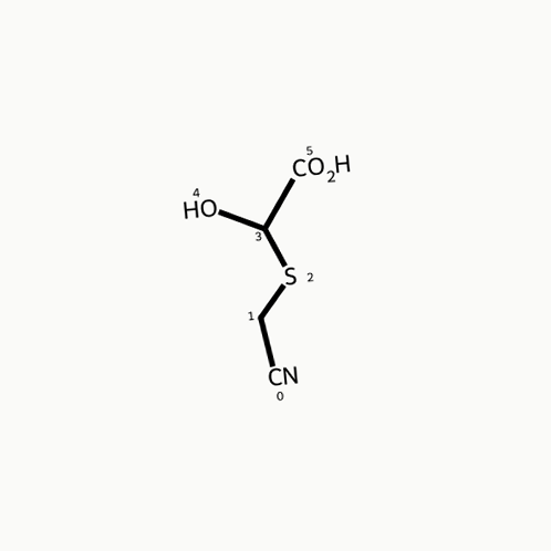 N#CCSC(O)C(=O)O